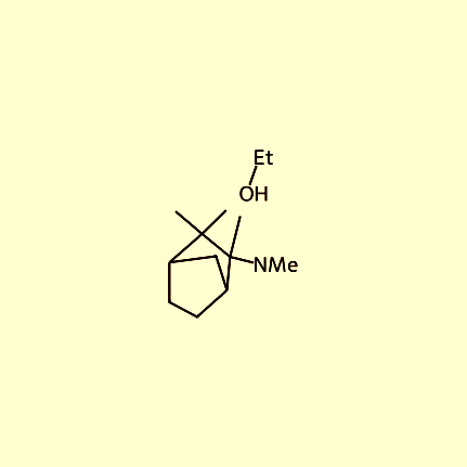 CCO.CNC1(C)C2CCC(C2)C1(C)C